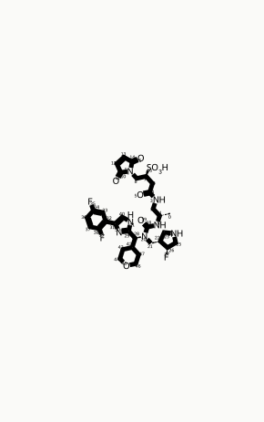 C[C@@H](CNC(=O)C[C@@H](CN1C(=O)C=CC1=O)S(=O)(=O)O)NC(=O)N(C[C@@H]1CNC[C@@H]1F)[C@@H](c1nc(-c2cc(F)ccc2F)c[nH]1)C1CCOCC1